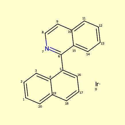 [Ir].c1ccc2c(-c3nccc4ccccc34)cccc2c1